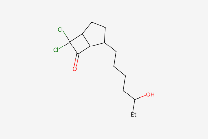 CCC(O)CCCCC1CCC2C1C(=O)C2(Cl)Cl